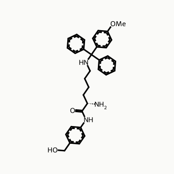 COc1ccc(C(NCCCC[C@H](N)C(=O)Nc2ccc(CO)cc2)(c2ccccc2)c2ccccc2)cc1